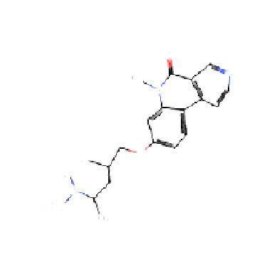 CC(COc1ccc2c3ccncc3c(=O)n(C)c2c1)CC(C)N(C)C(=O)O